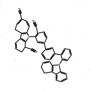 N#CC1=CCc2c3c(n(-c4cc(-c5cccc(-c6ccccc6-n6c7c(c8ccccc86)CCC=C7)c5)ccc4C#N)c2C=C1)C(C#N)CC=C3